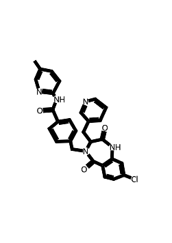 Cc1ccc(NC(=O)c2ccc(CN3C(=O)c4ccc(Cl)cc4NC(=O)C3Cc3cccnc3)cc2)nc1